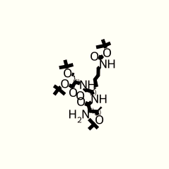 C[C@@H](OC(C)(C)C)[C@H](N)C(=O)N[C@@H](CCCCNC(=O)OC(C)(C)C)C(=O)N[C@@H](COC(C)(C)C)C(=O)OC(C)(C)C